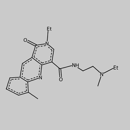 CCN(C)CCNC(=O)c1cn(CC)c(=O)c2cc3cccc(C)c3nc12